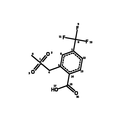 CS(=O)(=O)Cc1cc(C(F)(F)F)ccc1C(=O)O